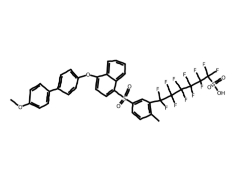 COc1ccc(-c2ccc(Oc3ccc(S(=O)(=O)c4ccc(C)c(C(F)(F)C(F)(F)C(F)(F)C(F)(F)C(F)(F)C(F)(F)S(=O)(=O)O)c4)c4ccccc34)cc2)cc1